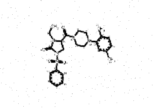 CCN1C(=O)N(S(=O)(=O)c2ccccc2)CC1C(=O)N1CCN(c2cc(C)ccc2C)CC1